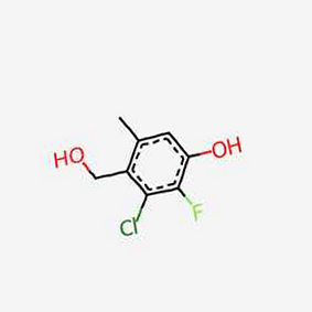 Cc1cc(O)c(F)c(Cl)c1CO